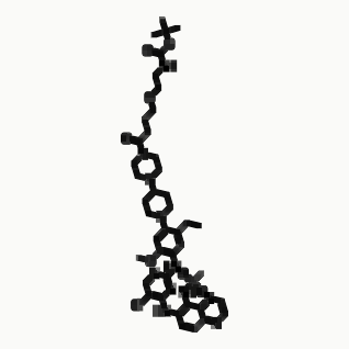 CCc1cc(Nc2ncc(Cl)c(Nc3ccc4nccnc4c3NS(C)(=O)=O)n2)c(OC)cc1N1CCC(N2CCN(C(=O)CCCOCCNC(=O)OC(C)(C)C)CC2)CC1